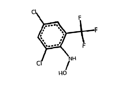 ONc1c(Cl)cc(Cl)cc1C(F)(F)F